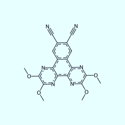 COc1nc2c3cc(C#N)c(C#N)cc3c3nc(OC)c(OC)nc3c2nc1OC